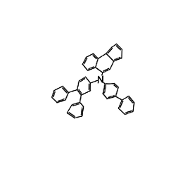 c1ccc(-c2ccc(N(c3ccc(-c4ccccc4)c(-c4ccccc4)c3)c3cc4ccccc4c4ccccc34)cc2)cc1